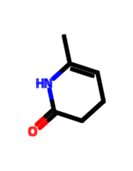 CC1=CCCC(=O)N1